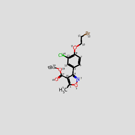 Cc1onc(-c2ccc(OCCBr)c(Cl)c2)c1C(=O)OC(C)(C)C